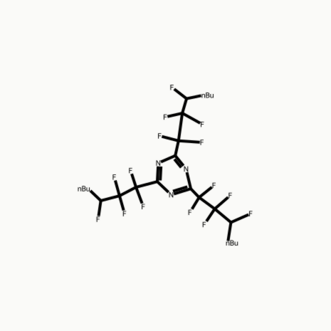 CCCCC(F)C(F)(F)C(F)(F)c1nc(C(F)(F)C(F)(F)C(F)CCCC)nc(C(F)(F)C(F)(F)C(F)CCCC)n1